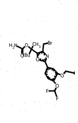 CC(C)(C)C(C)(OC(N)=O)c1oc(-c2ccc(OC(F)F)c(OCC3CC3)c2)nc1CBr